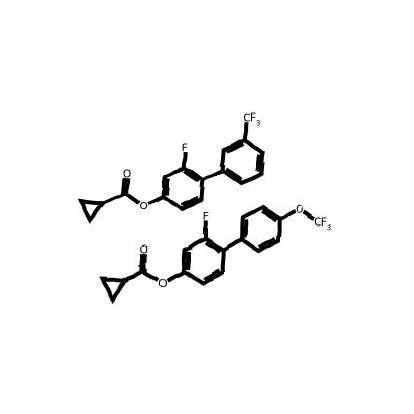 O=C(Oc1ccc(-c2ccc(OC(F)(F)F)cc2)c(F)c1)C1CC1.O=C(Oc1ccc(-c2cccc(C(F)(F)F)c2)c(F)c1)C1CC1